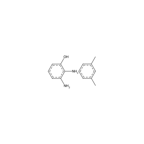 Cc1cccc(C)c1.Nc1cccc(O)c1N